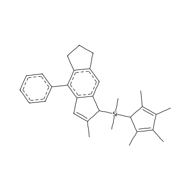 CC1=Cc2c(cc3c(c2-c2ccccc2)CCC3)C1[Si](C)(C)C1C(C)=C(C)C(C)=C1C